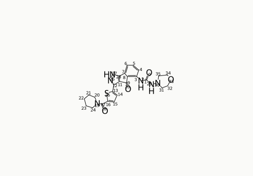 O=C(Nc1cccc2c1C(=O)c1c(-c3ccc(C(=O)N4CCCCC4)s3)n[nH]c1-2)NN1CCOCC1